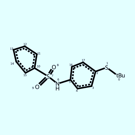 CC(C)(C)Sc1ccc(NS(=O)(=O)c2ccccc2)cc1